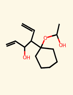 C=CC(O)C(C=C)C1(OC(C)O)CCCCC1